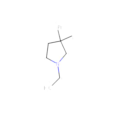 CC(C)C1(C)CCN(CC(F)(F)F)C1